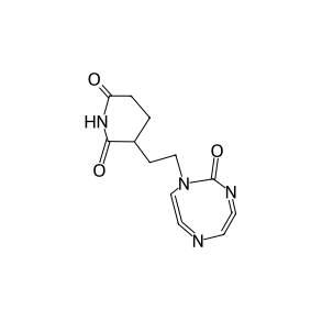 O=C1CCC(CCN2C=C=NC=C=NC2=O)C(=O)N1